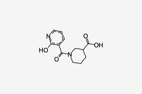 O=C(O)C1CCCN(C(=O)c2cccnc2O)C1